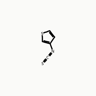 S=C=Nc1ccsc1